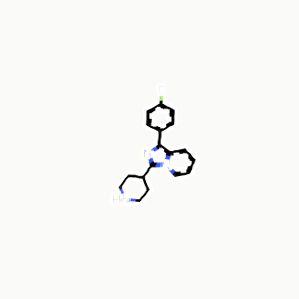 Fc1ccc(-c2nc(C3CCNCC3)n3ccccc23)cc1